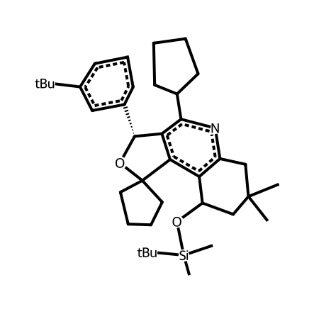 CC1(C)Cc2nc(C3CCCC3)c3c(c2C(O[Si](C)(C)C(C)(C)C)C1)C1(CCCC1)O[C@@H]3c1cccc(C(C)(C)C)c1